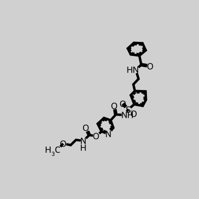 COCCNC(=O)Oc1ccc(C(=O)NS(=O)(=O)c2cccc(CCNC(=O)c3ccccc3)c2)cn1